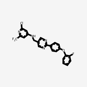 Fc1ccccc1Oc1ccc(-c2ncc(CNc3cc(Cl)nc(C(F)(F)F)c3)cn2)cc1